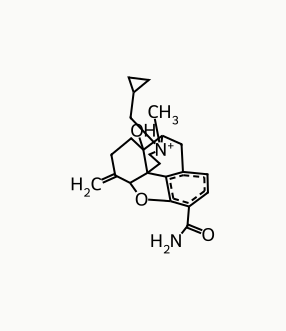 C=C1CCC2(O)C3Cc4ccc(C(N)=O)c5c4C2(CC[N+]3(C)CC2CC2)C1O5